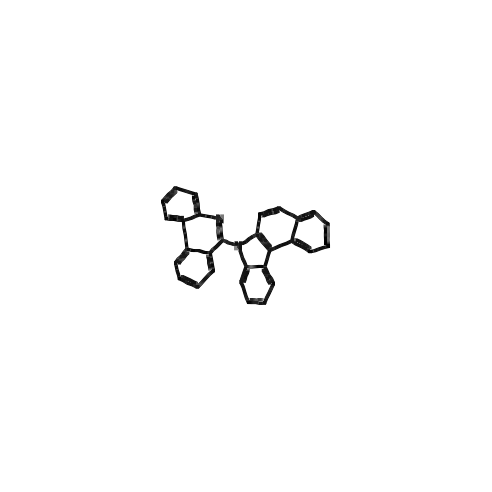 c1ccc2c(c1)ccc1c2c2ccccc2n1-c1nc2ccccc2c2ccccc12